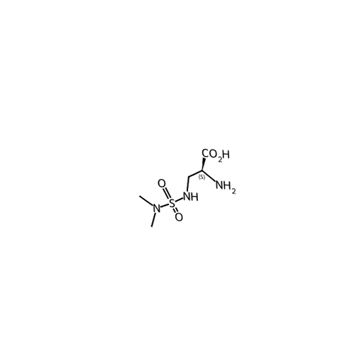 CN(C)S(=O)(=O)NC[C@H](N)C(=O)O